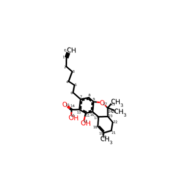 C#CCCCCCc1cc2c(c(O)c1C(=O)O)C1C=C(C)CCC1C(C)(C)O2